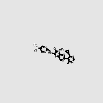 CC[S+]([O-])c1cnc(CNc2nc3cnc(-c4c(C)ncnc4C4CC4)nc3n(C(C)C)c2=O)nc1